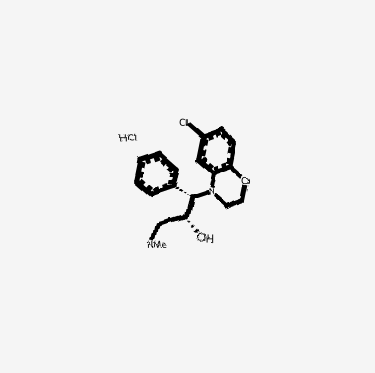 CNC[C@@H](O)[C@H](c1ccccc1)N1CCOc2ccc(Cl)cc21.Cl